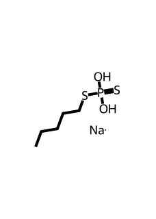 CCCCCSP(O)(O)=S.[Na]